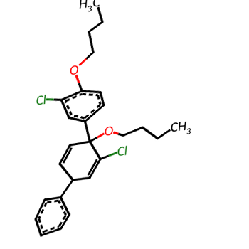 CCCCOc1ccc(C2(OCCCC)C=CC(c3ccccc3)C=C2Cl)cc1Cl